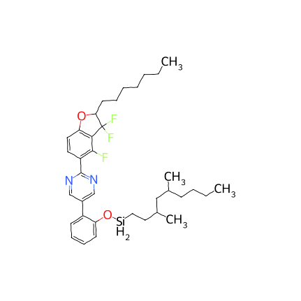 CCCCCCCC1Oc2ccc(-c3ncc(-c4ccccc4O[SiH2]CCC(C)CC(C)CCCC)cn3)c(F)c2C1(F)F